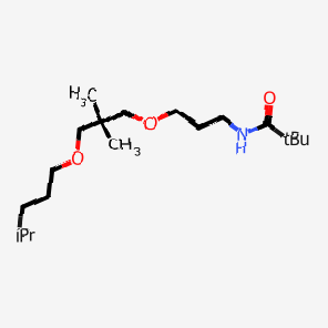 CC(C)CCCOCC(C)(C)COCCCNC(=O)C(C)(C)C